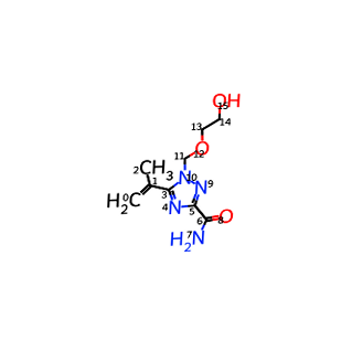 C=C(C)c1nc(C(N)=O)nn1COCCO